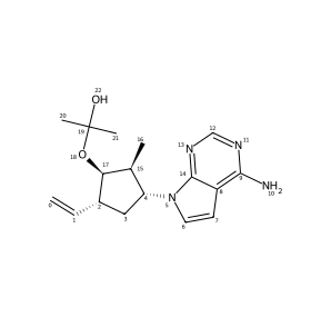 C=C[C@H]1C[C@@H](n2ccc3c(N)ncnc32)[C@H](C)[C@@H]1OC(C)(C)O